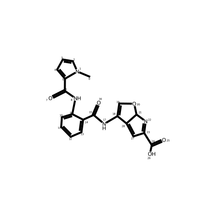 Cn1cccc1C(=O)Nc1ccccc1C(=O)NC1=COC2N=C(C(=O)O)C=C12